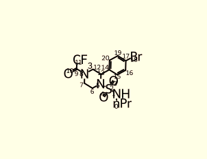 CCCNS(=O)(=O)N1CCN(C(=O)C(F)(F)F)CC1c1ccc(Br)cc1